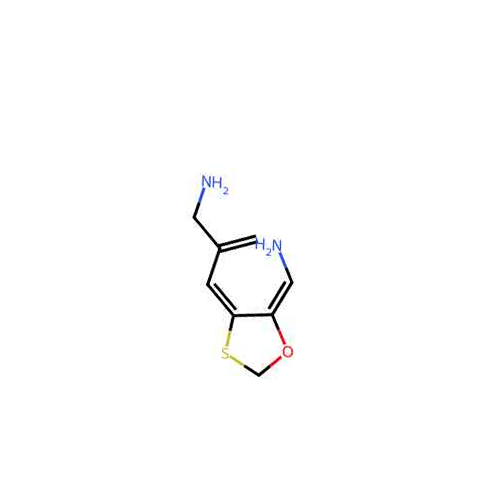 C=C(/C=C1/SCO/C1=C/N)CN